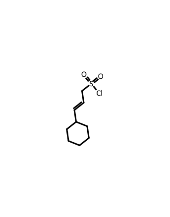 O=S(=O)(Cl)CC=CC1CCCCC1